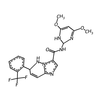 COC1=CC(OC)=NC(NC(=O)c2cnc3n2NC(c2ccccc2C(F)(F)F)C=C3)N1